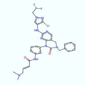 CN(C)C/C=C/C(=O)Nc1cccc(N2C(=O)N(Cc3ccccc3)Cc3cnc(Nc4cn(CC(F)F)nc4Cl)nc32)c1